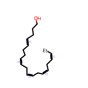 CC/C=C\C/C=C\C/C=C\C/C=C\CC/C=C/CCCO